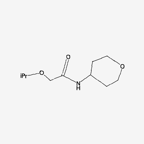 CC(C)OCC(=O)NC1CCOCC1